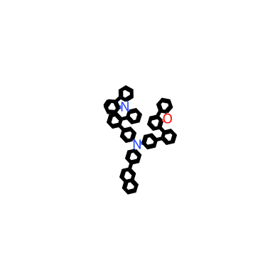 c1ccc2c(c#1)c1ccccc1n2-c1ccccc1-c1ccccc1-c1ccc(N(c2ccc(-c3ccc4ccccc4c3)cc2)c2ccc(-c3ccccc3-c3cccc4c3oc3ccccc34)cc2)cc1